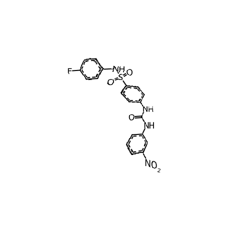 O=C(Nc1ccc(S(=O)(=O)Nc2ccc(F)cc2)cc1)Nc1cccc([N+](=O)[O-])c1